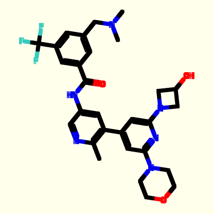 Cc1ncc(NC(=O)c2cc(CN(C)C)cc(C(F)(F)F)c2)cc1-c1cc(N2CCOCC2)nc(N2CC(O)C2)c1